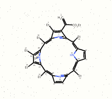 C=C(C(=O)OCC)C1=C(CC)c2nc1c(CC)c1ccc([nH]1)c(CC)c1nc(c(CC)c3c(CC)c(CC)c(c2CC)n3CC)C=C1